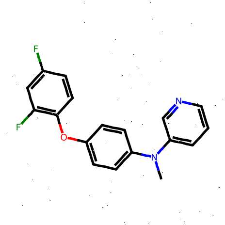 CN(c1ccc(Oc2ccc(F)cc2F)cc1)c1cccnc1